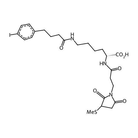 CSC1CC(=O)N(CCC(=O)N[C@H](CCCCNC(=O)CCCc2ccc(I)cc2)C(=O)O)C1=O